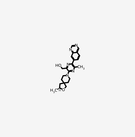 Cc1nc(N2CCC3(CC2)CO[C@@H](C)C3)c(CO)nc1-c1ccc2cncnc2c1